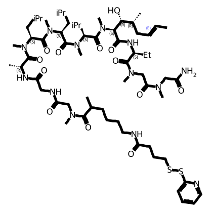 C/C=C/C[C@@H](C)[C@@H](O)[C@@H](C(=O)N[C@@H](CC)C(=O)N(C)CC(=O)N(C)CC(N)=O)N(C)C(=O)[C@H](C(C)C)N(C)C(=O)[C@H](CC(C)C)N(C)C(=O)[C@H](CC(C)C)N(C)C(=O)[C@@H](C)NC(=O)CNC(=O)CN(C)C(=O)C(C)CCCCNC(=O)CCCSSc1ccccn1